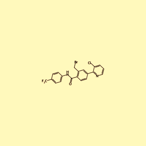 O=C(Nc1ccc(C(F)(F)F)cc1)c1ccc(-c2ncccc2Cl)cc1CBr